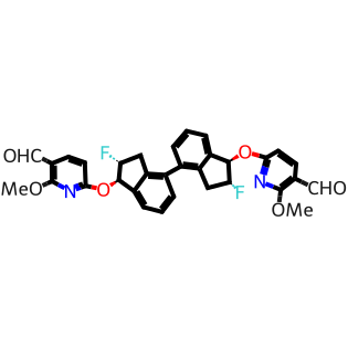 COc1nc(O[C@@H]2c3cccc(-c4cccc5c4C[C@@H](F)[C@@H]5Oc4ccc(C=O)c(OC)n4)c3C[C@H]2F)ccc1C=O